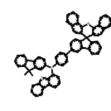 CC1(C)c2ccccc2-c2ccc(N(c3ccc(-c4ccc5c(c4)-c4ccccc4C54c5ccc6ccccc6c5Oc5c4ccc4ccccc54)cc3)c3cccc4c3oc3ccccc34)cc21